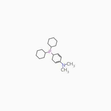 CN(C)C1=CCC(P(C2CCCCC2)C2CCCCC2)C=C1